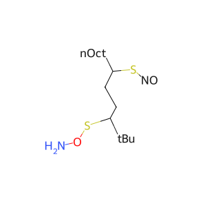 CCCCCCCCC(CCC(SON)C(C)(C)C)SN=O